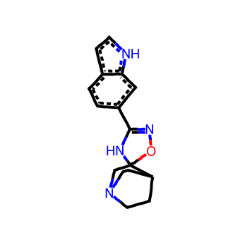 c1cc2ccc(C3=NOC4(CN5CCC4CC5)N3)cc2[nH]1